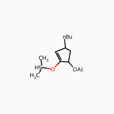 CCCCC1C=C(O[SiH](C)C)C(OC(C)=O)C1